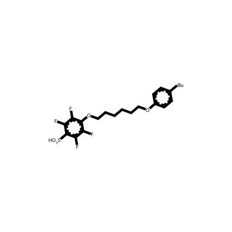 CCC(C)c1ccc(OCCCCCCOc2c(F)c(F)c(S(=O)(=O)O)c(F)c2F)cc1